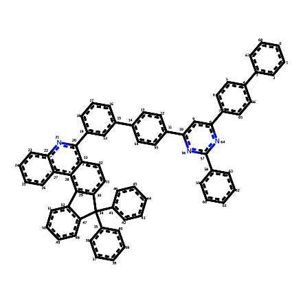 c1ccc(-c2ccc(-c3cc(-c4ccc(-c5cccc(-c6nc7ccccc7c7c8c(ccc67)C(c6ccccc6)(c6ccccc6)c6ccccc6-8)c5)cc4)nc(-c4ccccc4)n3)cc2)cc1